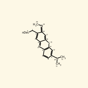 CCCCCCCCCCCc1cc2nc3ccc(N(C)C)cc3sc-2c/c1=N/C